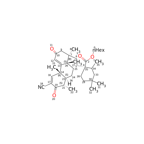 CCCCCCOC(=O)[C@]1(CC[C@]2(C)CC(=O)C=C3[C@@]4(C)C=C(C#N)C(=O)[C@@H](C)[C@@H]4CC[C@]32C)CCC(C)(C)CC1C